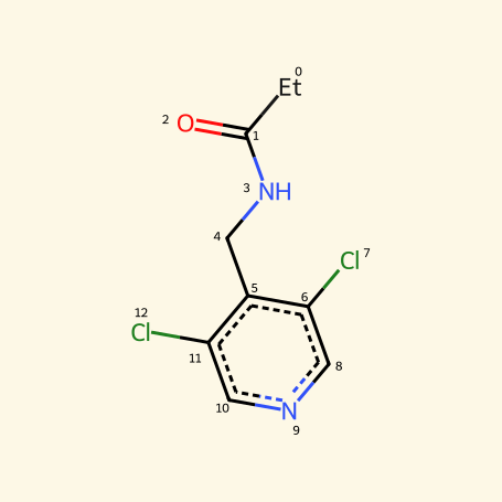 CCC(=O)NCc1c(Cl)cncc1Cl